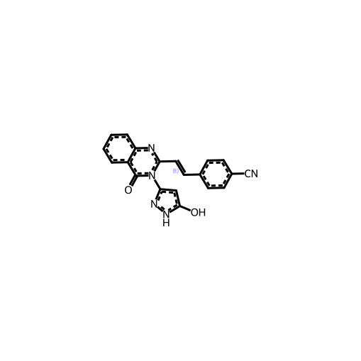 N#Cc1ccc(/C=C/c2nc3ccccc3c(=O)n2-c2cc(O)[nH]n2)cc1